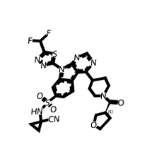 N#CC1(NS(=O)(=O)c2ccc3c4c(C5CCN(C(=O)[C@H]6CCOC6)CC5)ncnc4n(-c4nnc(C(F)F)s4)c3c2)CC1